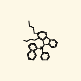 CCCCc1ccc2c(c1CCCC)C(N(c1ccccc1)c1cccc3ccccc13)c1ccccc1-2